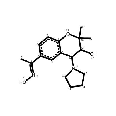 CC(=NO)c1ccc2c(c1)C(N1CCCC1)C(O)C(C)(C)O2